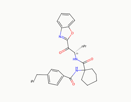 CCC[C@H](NC(=O)C1(NC(=O)c2ccc(CC(C)C)cc2)CCCCC1)C(=O)c1nc2ccccc2o1